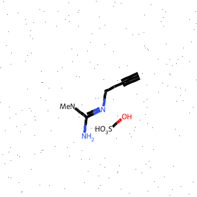 C#CC/N=C(/N)NC.O=S(=O)(O)O